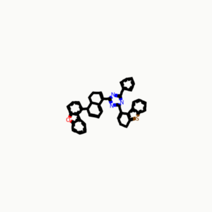 C1=CC(c2cccc3oc4ccccc4c23)C2CCC=C(c3nc(C4=CCCc5sc6ccccc6c54)nc(-c4ccccc4)n3)C2=C1